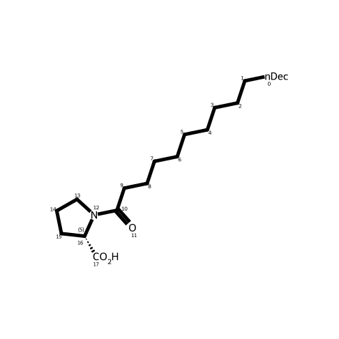 CCCCCCCCCCCCCCCCCCCC(=O)N1CCC[C@H]1C(=O)O